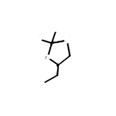 CCC1(CC)NC(CO)CO1